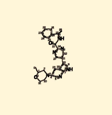 CC1CN(c2cnc3[nH]cc(-c4cnc(C(=O)N[C@H](C)c5ccccc5)nc4)c3c2)CCO1